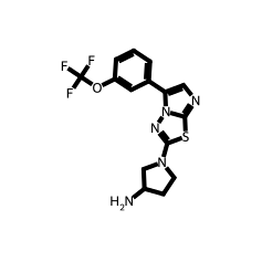 NC1CCN(c2nn3c(-c4cccc(OC(F)(F)F)c4)cnc3s2)C1